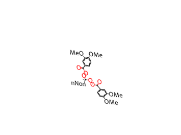 [CH2]CCCCCCCC[C](OOC(=O)c1ccc(OC)c(OC)c1)OOC(=O)c1ccc(OC)c(OC)c1